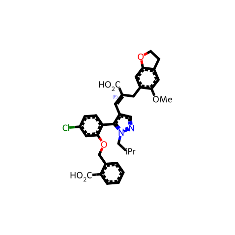 COc1cc2c(cc1C/C(=C\c1cnn(CC(C)C)c1-c1ccc(Cl)cc1OCc1ccccc1C(=O)O)C(=O)O)OCC2